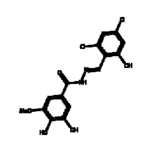 COc1cc(C(=O)N/N=C/c2c(O)cc(Cl)cc2Cl)cc(O)c1O